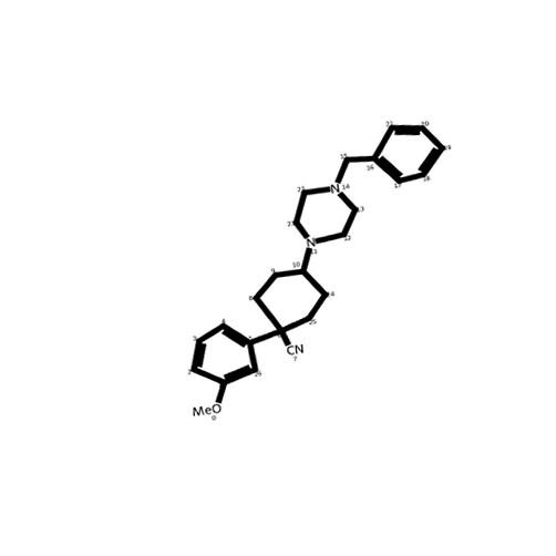 COc1cccc(C2(C#N)CCC(N3CCN(Cc4ccccc4)CC3)CC2)c1